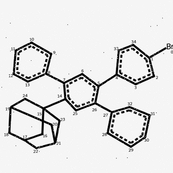 Brc1ccc(-c2cc(-c3ccccc3)c(C34CC5CC(CC(C5)C3)C4)cc2-c2ccccc2)cc1